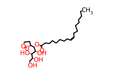 CCCCCCCC/C=C\CCCCCCCC(=O)O[C@@H](C1CCOO1)[C@@H](O)[C@H](O)[C@H](O)CO